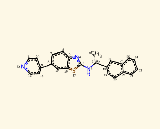 C[C@@H](Nc1nc2ccc(-c3ccncc3)cc2s1)c1ccc2ccccc2c1